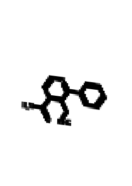 NC(=O)c1ccnc(-c2ccccc2)c1CC=O